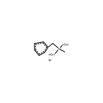 CCCCCCCC[N+](C)(CCCCCCCC)Cc1ccccc1.[Br-]